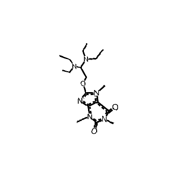 CCN(CC)C(COc1nc2c(c(=O)n(C)c(=O)n2C)n1C)N(CC)CC